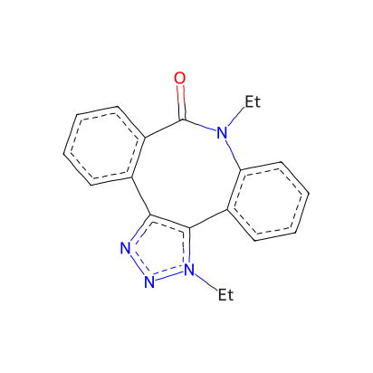 CCN1C(=O)c2ccccc2-c2nnn(CC)c2-c2ccccc21